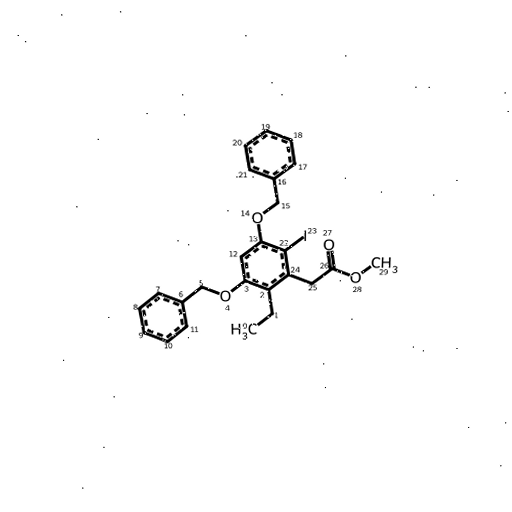 CCc1c(OCc2ccccc2)cc(OCc2ccccc2)c(I)c1CC(=O)OC